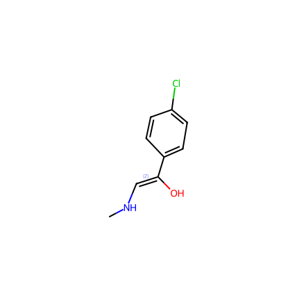 CN/C=C(\O)c1ccc(Cl)cc1